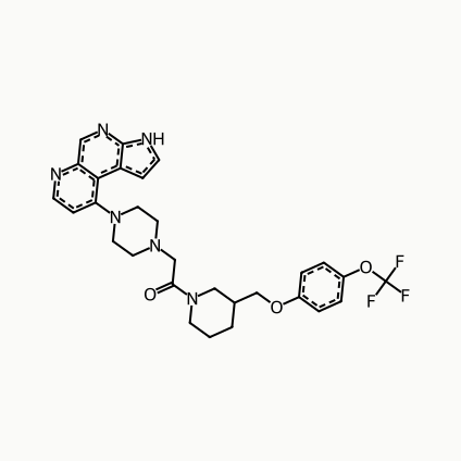 O=C(CN1CCN(c2ccnc3cnc4[nH]ccc4c23)CC1)N1CCCC(COc2ccc(OC(F)(F)F)cc2)C1